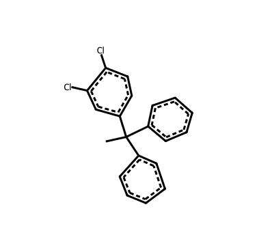 CC(c1ccccc1)(c1ccccc1)c1ccc(Cl)c(Cl)c1